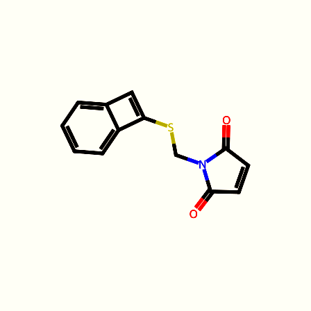 O=C1C=CC(=O)N1CSC1=Cc2ccccc21